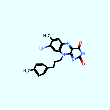 Cc1ccc(CCCn2c3nc(=O)[nH]c(=O)c-3nc3cc(C)c(N)cc32)cc1